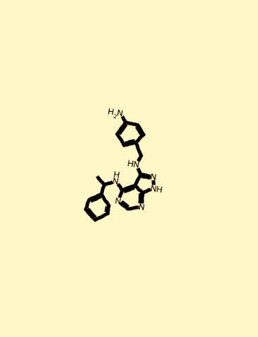 CC(Nc1ncnc2[nH]nc(NCc3ccc(N)cc3)c12)c1ccccc1